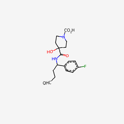 O=CCCC(NC(=O)C1(O)CCN(C(=O)O)CC1)c1ccc(F)cc1